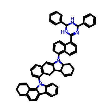 C1=Cc2c(ccc3c4ccccc4n(-c4cccc5c4CC4C(=C5)N(c5cccc6c(C7=NC(c8ccccc8)NC(c8ccccc8)N7)cccc56)C5CCC=CC45)c23)CC1